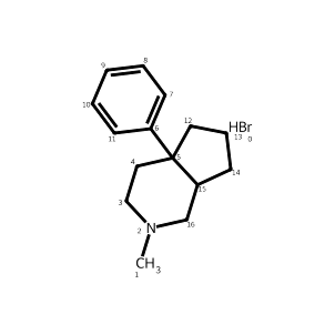 Br.CN1CCC2(c3ccccc3)CCCC2C1